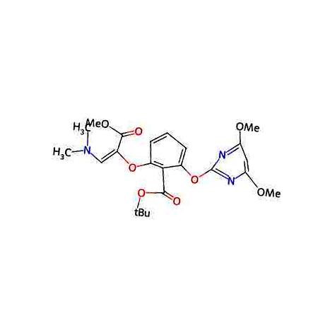 COC(=O)/C(=C\N(C)C)Oc1cccc(Oc2nc(OC)cc(OC)n2)c1C(=O)OC(C)(C)C